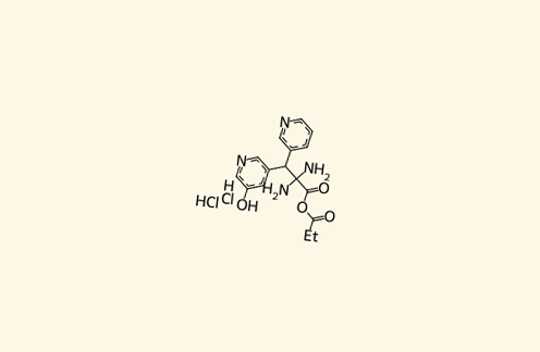 CCC(=O)OC(=O)C(N)(N)C(c1cccnc1)c1cncc(O)c1.Cl.Cl